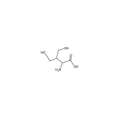 NC(C(=O)O)C(CO)CO